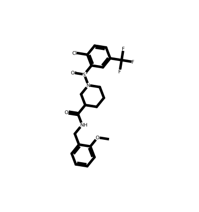 COc1ccccc1CNC(=O)C1CCCN([S+]([O-])c2cc(C(F)(F)F)ccc2Cl)C1